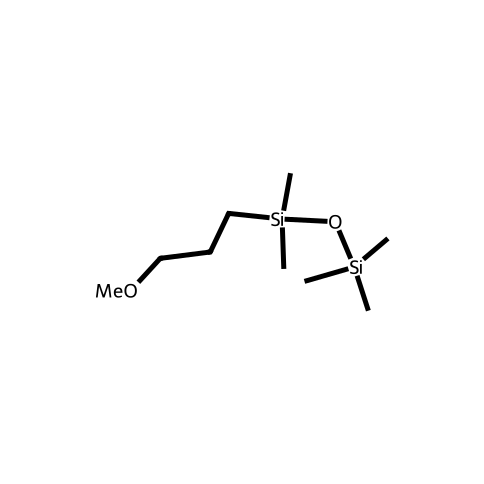 COCCC[Si](C)(C)O[Si](C)(C)C